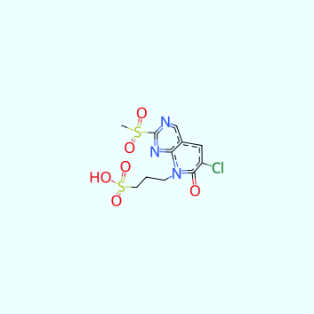 CS(=O)(=O)c1ncc2cc(Cl)c(=O)n(CCCS(=O)(=O)O)c2n1